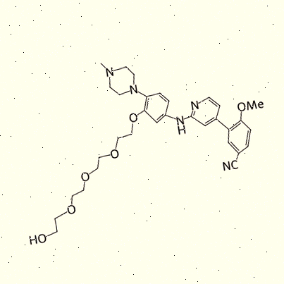 COc1ccc(C#N)cc1-c1ccnc(Nc2ccc(N3CCN(C)CC3)c(OCCOCCOCCOCCO)c2)c1